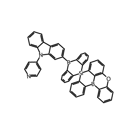 c1ccc2c(c1)Oc1cccc3c1B2c1ccccc1[Si]31c2ccccc2B(c2ccc3c4ccccc4n(-c4ccncc4)c3c2)c2ccccc21